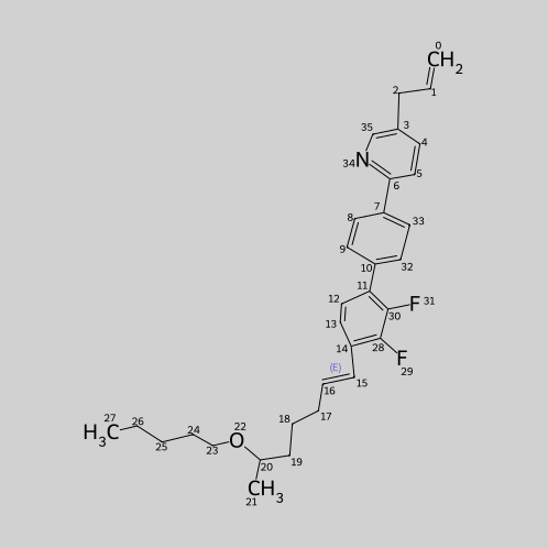 C=CCc1ccc(-c2ccc(-c3ccc(/C=C/CCCC(C)OCCCCC)c(F)c3F)cc2)nc1